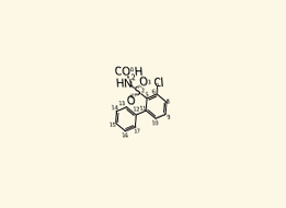 O=C(O)NS(=O)(=O)c1c(Cl)cccc1-c1ccccc1